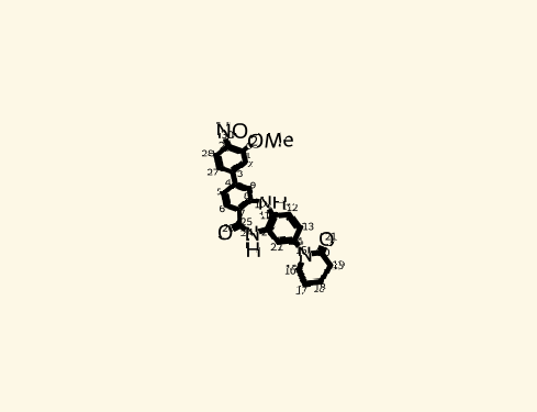 COc1cc(-c2ccc3c(c2)Nc2ccc(N4CCCCC4=O)cc2NC3=O)ccc1[N+](=O)[O-]